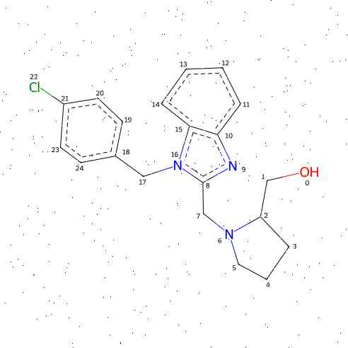 OCC1CCCN1Cc1nc2ccccc2n1Cc1ccc(Cl)cc1